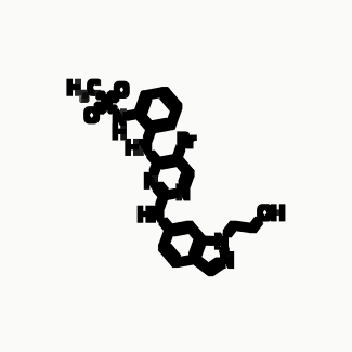 CS(=O)(=O)Nc1ccccc1Nc1nc(Nc2ccc3cnn(CCO)c3c2)ncc1Br